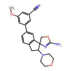 COc1cc(C#N)cc(-c2ccc3c(c2)C2(COC(N)=N2)C(N2CCOCC2)C3)c1